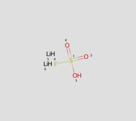 O=S(=O)(O)F.[LiH].[LiH]